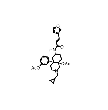 CC(=O)Oc1cccc([C@@]23CCN(CC4CC4)C[C@@]2(OC(C)=O)CC[C@@H](NC(=O)/C=C/c2ccoc2)C3)c1